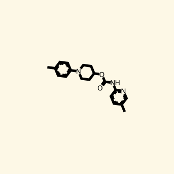 Cc1ccc(N2CCC(OC(=O)Nc3ccc(C)cn3)CC2)cc1